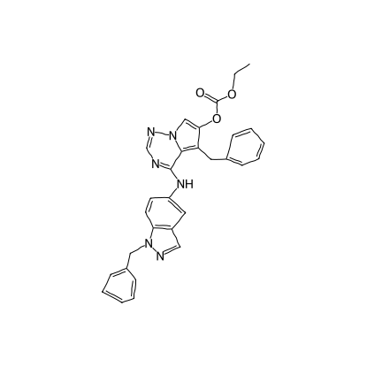 CCOC(=O)Oc1cn2ncnc(Nc3ccc4c(cnn4Cc4ccccc4)c3)c2c1Cc1ccccc1